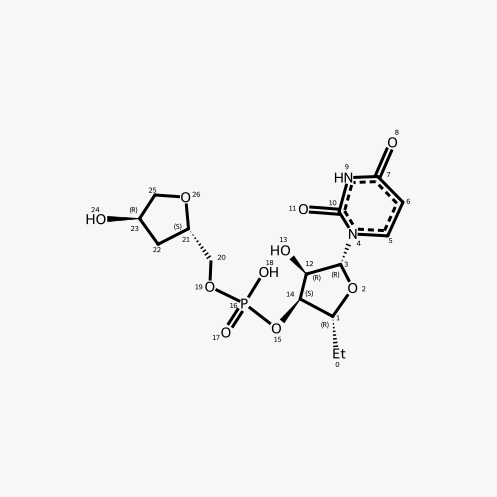 CC[C@H]1O[C@@H](n2ccc(=O)[nH]c2=O)[C@H](O)[C@@H]1OP(=O)(O)OC[C@@H]1C[C@@H](O)CO1